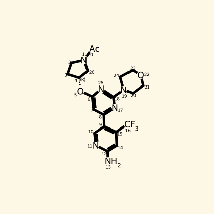 CC(=O)N1CC[C@@H](Oc2cc(-c3cnc(N)cc3C(F)(F)F)nc(N3CCOCC3)n2)C1